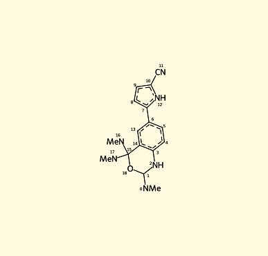 CNC1Nc2ccc(-c3ccc(C#N)[nH]3)cc2C(NC)(NC)O1